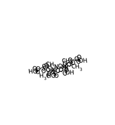 COc1cc(S(=O)(=O)CCOS(=O)(=O)O)c(OC)cc1/N=N/c1c(S(=O)(=O)O)cc2cc(S(=O)(=O)O)c(/N=N/c3cc(C)c(S(=O)(=O)CCOS(=O)(=O)O)cc3OC)c(O)c2c1N